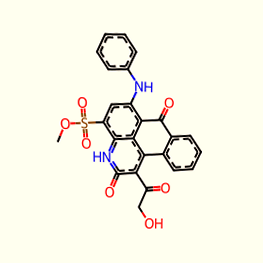 COS(=O)(=O)c1cc(Nc2ccccc2)c2c3c(c(C(=O)CO)c(=O)[nH]c13)-c1ccccc1C2=O